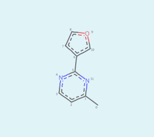 Cc1ccnc(-c2ccoc2)n1